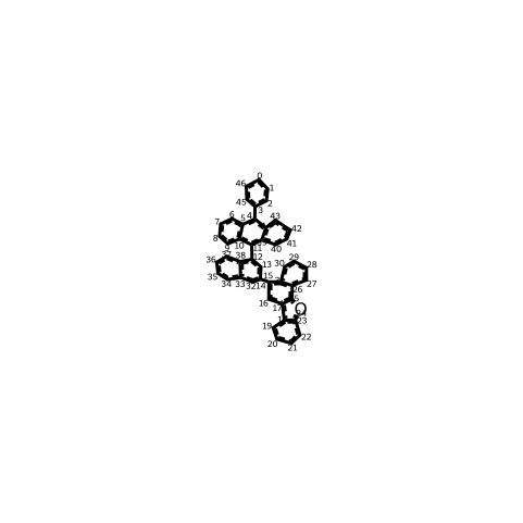 c1ccc(-c2c3ccccc3c(-c3cc(-c4cc5c6ccccc6oc5c5ccccc45)cc4ccccc34)c3ccccc23)cc1